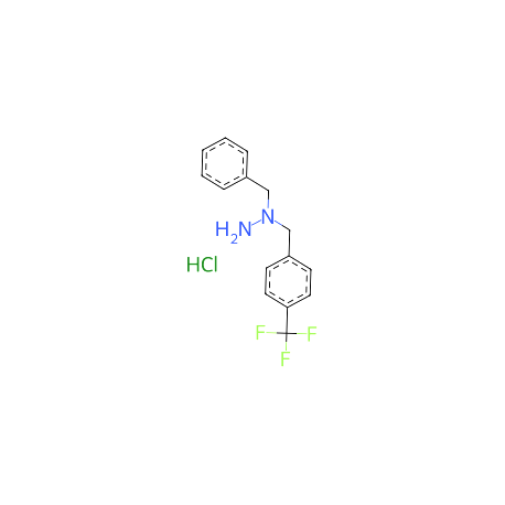 Cl.NN(Cc1ccccc1)Cc1ccc(C(F)(F)F)cc1